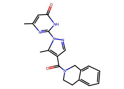 Cc1cc(=O)[nH]c(-n2ncc(C(=O)N3CCc4ccccc4C3)c2C)n1